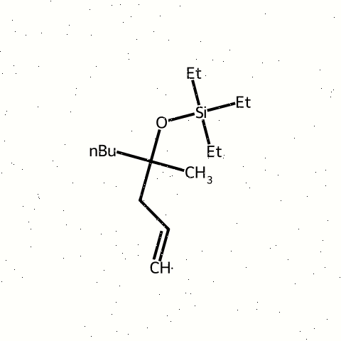 [CH]=CCC(C)(CCCC)O[Si](CC)(CC)CC